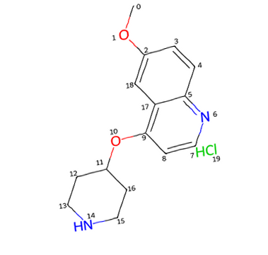 COc1ccc2nccc(OC3CCNCC3)c2c1.Cl